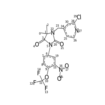 CC1(C)C(=O)N(c2ccc(OC(F)(F)F)c([N+](=O)[O-])c2)C(=O)N1Cc1ccnc(Cl)c1